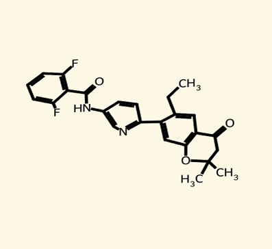 CCc1cc2c(cc1-c1ccc(NC(=O)c3c(F)cccc3F)cn1)OC(C)(C)CC2=O